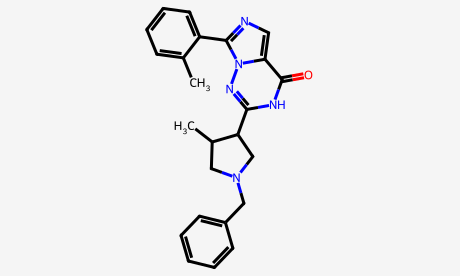 Cc1ccccc1-c1ncc2c(=O)[nH]c(C3CN(Cc4ccccc4)CC3C)nn12